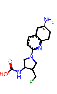 N[C@H]1CCc2nc(N3CC(CF)C(NC(=O)O)C3)ccc2C1